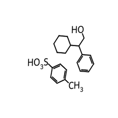 Cc1ccc(S(=O)(=O)O)cc1.OCC(c1ccccc1)C1CCCCC1